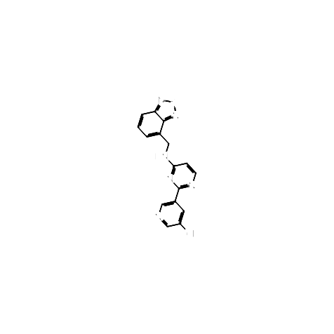 Clc1cncc(-c2nccc(NCc3cccc4nsnc34)n2)c1